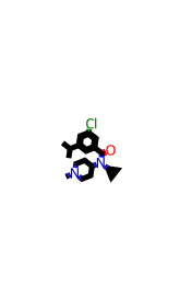 CC(C)c1cc(Cl)cc(C(=O)N(C2CC2)C2CCN(C)CC2)c1